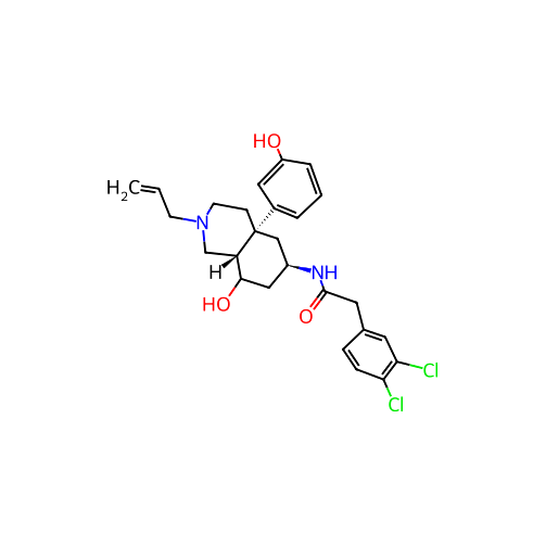 C=CCN1CC[C@@]2(c3cccc(O)c3)C[C@@H](NC(=O)Cc3ccc(Cl)c(Cl)c3)CC(O)[C@@H]2C1